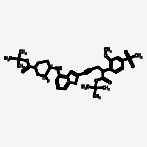 COc1cc(S(C)(=O)=O)ccc1N(CC#Cc1cc2c(N[C@@H]3CCN(C(=O)OC(C)(C)C)C[C@@H]3F)cccc2s1)C(=O)OC(C)(C)C